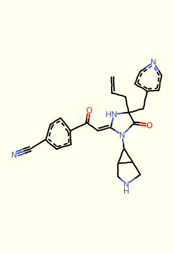 C=CCC1(Cc2ccncc2)N/C(=C\C(=O)c2ccc(C#N)cc2)N(C2C3CNCC32)C1=O